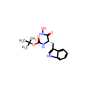 CC(C)(C)OC(=O)N[C@@H](Cc1c[nH]c2ccccc12)C(=O)NO